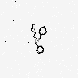 FOCCN(Cc1ccccc1)Cc1ccccc1